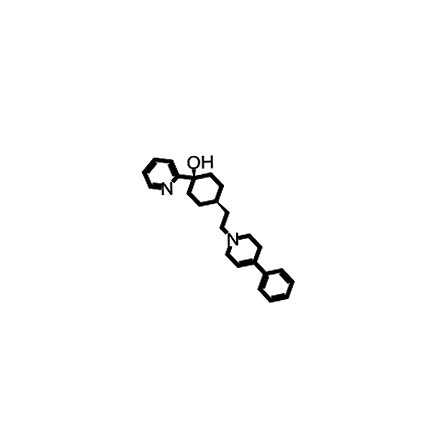 O[C@]1(c2ccccn2)CC[C@H](CCN2CC=C(c3ccccc3)CC2)CC1